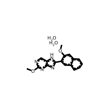 COc1ncc2[nH]c(-c3cc4ccccc4cc3OC)nc2n1.O.O